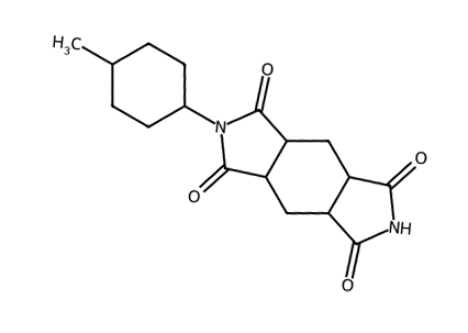 CC1CCC(N2C(=O)C3CC4C(=O)NC(=O)C4CC3C2=O)CC1